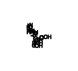 C/C(C(=O)NCc1cnc(C)nc1N)=C(CCOP(=O)(O)O)/[SH]=C(\O)c1ccc(O)cc1